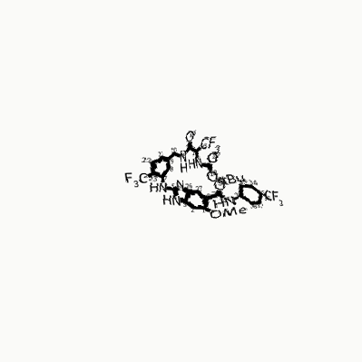 COc1cc2[nH]c(Nc3cc(CNC(=O)C(NC(=O)OC(C)(C)C)C(F)(F)F)ccc3C(F)(F)F)nc2cc1C(=O)N[C@H]1CC[C@H](C(F)(F)F)CC1